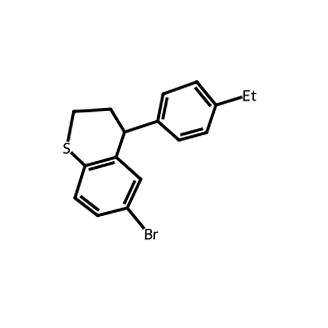 CCc1ccc(C2CCSc3ccc(Br)cc32)cc1